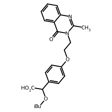 CCC(C)OC(C(=O)O)c1ccc(OCCn2c(C)nc3ccccc3c2=O)cc1